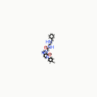 Cc1ccc(-n2ccc3ncn(CC(=O)NCCNCC4CCCCC4)c3c2=O)cc1